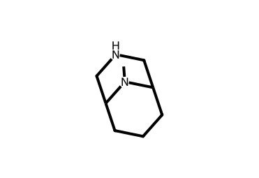 CN1C2CCCC1CNC2